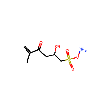 C=C(C)C(=O)CC(O)CS(=O)(=O)ON